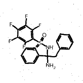 NC(Cc1ccccc1)(NS(=O)(=O)c1c(F)c(F)c(F)c(F)c1F)c1ccccc1